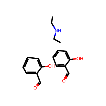 CCNCC.O=Cc1ccccc1O.O=Cc1ccccc1O